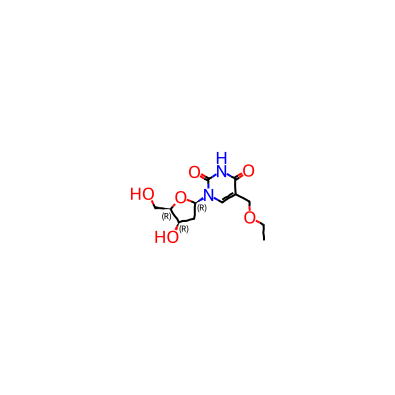 CCOCc1cn([C@H]2C[C@@H](O)[C@@H](CO)O2)c(=O)[nH]c1=O